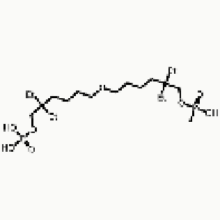 CCC(CC)(CCCCOCCCCC(CC)(CC)COP(=O)(O)O)COP(C)(=O)O